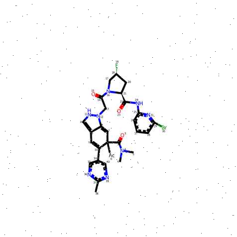 CC(=O)C1(C(=O)N(C)C)C=C2C(=CNN2CC(=O)N2C[C@H](F)C[C@H]2C(=O)Nc2cccc(Br)n2)C=C1c1cnc(C)nc1